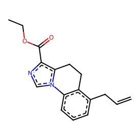 C=CCc1cccc2c1CCc1c(C(=O)OCC)ncn1-2